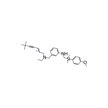 CCN(C/C=C/C#CC(C)(C)C)Cc1cccc(NC[Si](C)(C)c2ccc(OC)cc2)c1